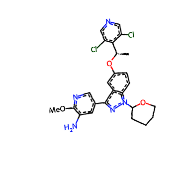 COc1ncc(-c2nn(C3CCCCO3)c3ccc(O[C@H](C)c4c(Cl)cncc4Cl)cc23)cc1N